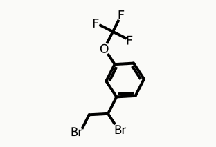 FC(F)(F)Oc1cccc(C(Br)CBr)c1